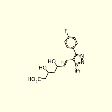 CC(C)n1nnc(-c2ccc(F)cc2)c1/C=C/C(O)CC(O)CC(=O)O